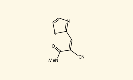 CNC(=O)C(C#N)=Cc1nccs1